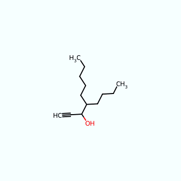 C#CC(O)C(CCCC)CCCCC